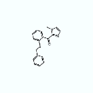 Cn1ccnc1C(=O)c1ccccc1SCc1ccccc1